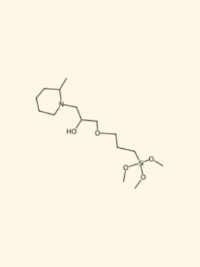 CO[Si](CCCOCC(O)CN1CCCCC1C)(OC)OC